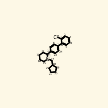 Clc1ccccc1-c1ccc(C2CCCCN2CC2CCCC2)cc1